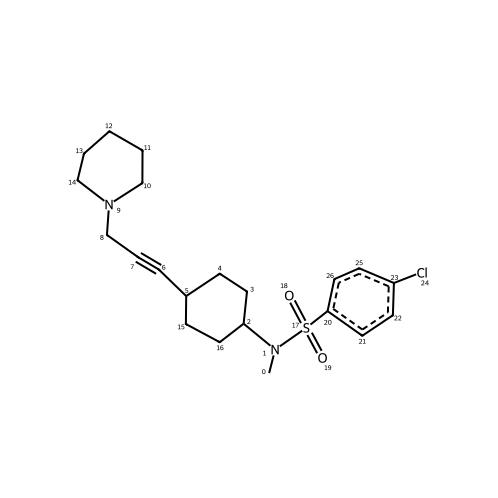 CN(C1CCC(C#CCN2CCCCC2)CC1)S(=O)(=O)c1ccc(Cl)cc1